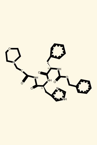 O=C(CCN1CCOCC1)NC(=O)[C@H](Cc1c[nH]cn1)NC(=O)[C@H](Cc1ccccc1)NC(=O)OCc1ccccc1